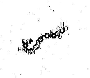 C[C@H]1CN(c2cc(-c3n[nH]c4cc(F)c(OC5(C)CC5)cc34)ncn2)CCN1CC1(F)CCN(CC2CCN(c3ccc4c(c3F)CN(C3CCC(=O)NC3=O)C4=O)CC2)CC1